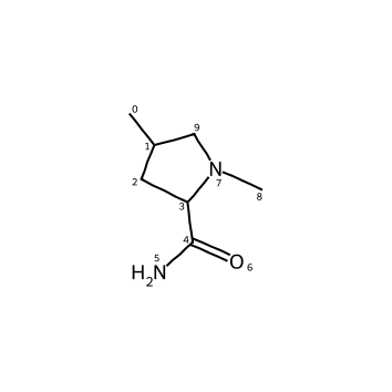 CC1CC(C(N)=O)N(C)C1